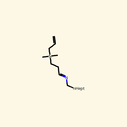 C=CC[Si](C)(C)CCC=NCCCCCCCC